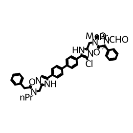 CCCN(Cc1ncc(-c2ccc(-c3ccc(-c4[nH]c(CN(CCC)C(=O)[C@@H](c5ccccc5)N(C=O)OC)nc4Cl)cc3)cc2)[nH]1)C(=O)Cc1ccccc1